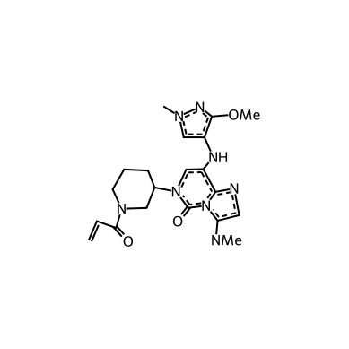 C=CC(=O)N1CCCC(n2cc(Nc3cn(C)nc3OC)c3ncc(NC)n3c2=O)C1